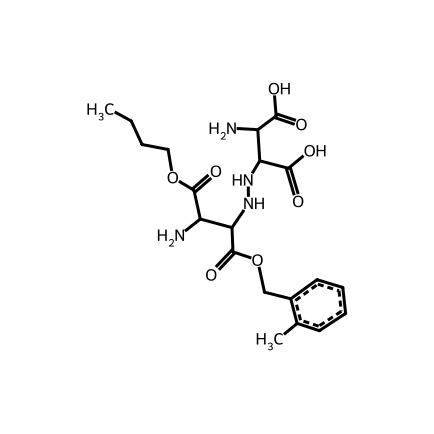 CCCCOC(=O)C(N)C(NNC(C(=O)O)C(N)C(=O)O)C(=O)OCc1ccccc1C